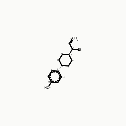 C=CC(CC)[C@H]1CC[C@H](c2ccc(C#N)cc2)CC1